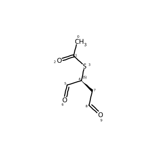 CC(=O)S[C@H](C=O)CC=O